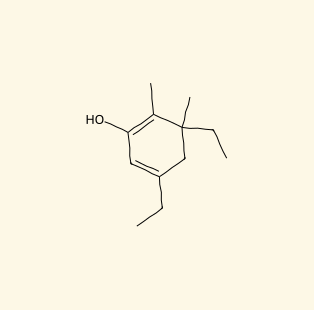 CCC1=CC(O)=C(C)C(C)(CC)C1